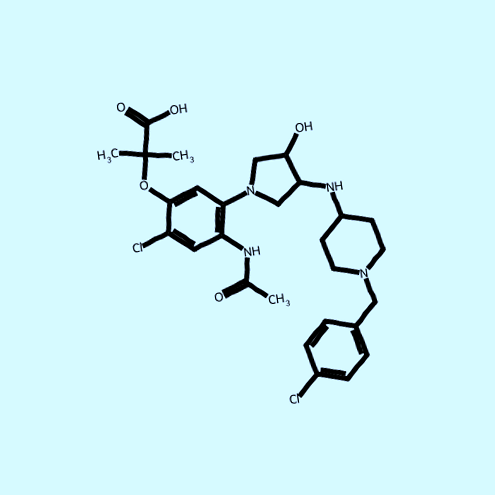 CC(=O)Nc1cc(Cl)c(OC(C)(C)C(=O)O)cc1N1CC(O)C(NC2CCN(Cc3ccc(Cl)cc3)CC2)C1